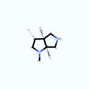 CN1C[C@H](F)[C@H]2CNC[C@H]21